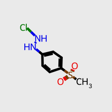 CS(=O)(=O)c1ccc(NNCl)cc1